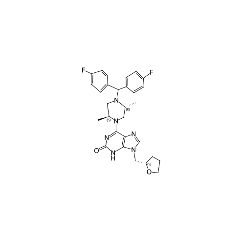 C[C@@H]1CN(c2nc(=O)[nH]c3c2ncn3C[C@@H]2CCCO2)[C@@H](C)CN1C(c1ccc(F)cc1)c1ccc(F)cc1